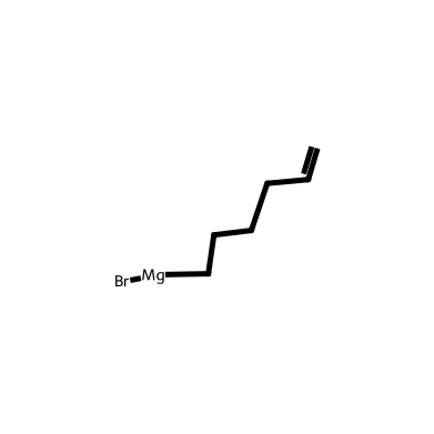 C=CCCC[CH2][Mg][Br]